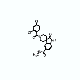 CNC(=O)c1ccc2c(c1)C1(CCN(C(=O)c3ccc(Cl)cc3Cl)CC1)C(=O)N2